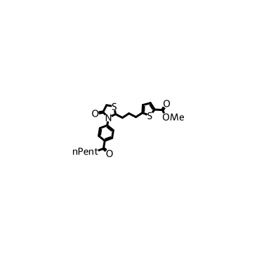 CCCCCC(=O)c1ccc(N2C(=O)CSC2CCCc2ccc(C(=O)OC)s2)cc1